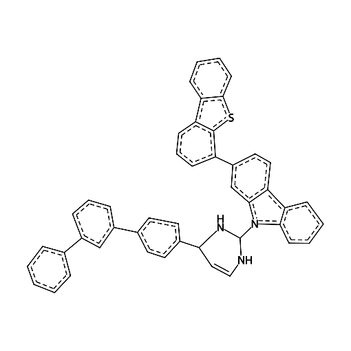 C1=CC(c2ccc(-c3cccc(-c4ccccc4)c3)cc2)NC(n2c3ccccc3c3ccc(-c4cccc5c4sc4ccccc45)cc32)N1